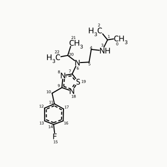 CC(C)NCCN(c1nc(Cc2ccc(F)cc2)ns1)C(C)C